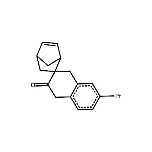 CC(C)c1ccc2c(c1)CC1(CC3C=CC1C3)C(=O)C2